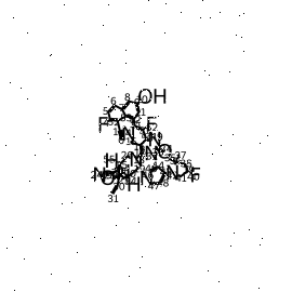 C#Cc1c(F)ccc2cc(O)cc(-c3ncc4c(N5C[C@H]6CC(C#N)[C@@H](C5)N6C(=O)C=C)nc(OC[C@]5(C)C[C@@H](F)CN5c5ccncc5)nc4c3F)c12